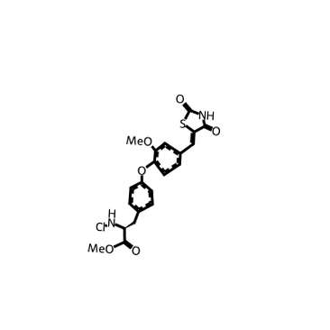 COC(=O)[C@H](Cc1ccc(Oc2ccc(/C=C3\SC(=O)NC3=O)cc2OC)cc1)NCl